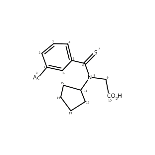 CC(=O)c1cccc(C(=S)N(CC(=O)O)C2CCCC2)c1